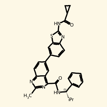 Cc1nc(C(=O)N[C@H](c2ccccc2)C(C)C)c2cc(-c3ccc4nc(NC(=O)C5CC5)sc4c3)ccc2n1